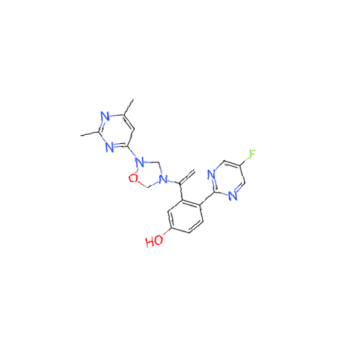 C=C(c1cc(O)ccc1-c1ncc(F)cn1)N1CON(c2cc(C)nc(C)n2)C1